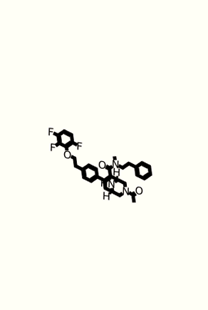 CC(=O)N1C[C@@H]2CC(c3ccc(CCOc4c(F)ccc(F)c4F)cc3)=C(C(=O)N(C)CCc3ccccc3)[C@H](C1)N2